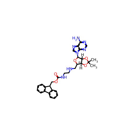 CC1(C)O[C@@H]2C(CNCCNC(=O)OCC3c4ccccc4-c4ccccc43)OC(n3cnc4c(N)ncnc43)[C@@H]2O1